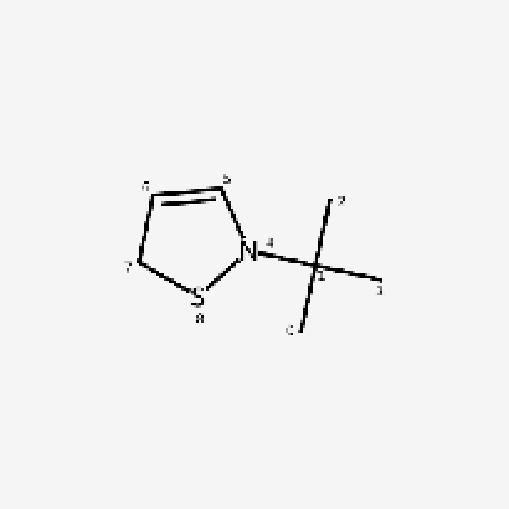 CC(C)(C)N1C=CCS1